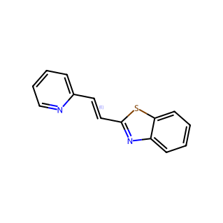 C(=C\c1nc2ccccc2s1)/c1ccccn1